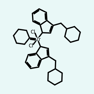 [Cl][Zr]([Cl])(=[C]1CCCCC1)([CH]1C=C(CC2CCCCC2)c2ccccc21)[CH]1C=C(CC2CCCCC2)c2ccccc21